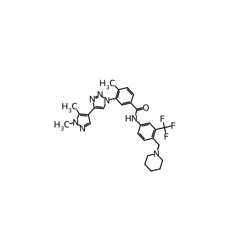 Cc1ccc(C(=O)Nc2ccc(CN3CCCCC3)c(C(F)(F)F)c2)cc1-n1cc(-c2cnn(C)c2C)nn1